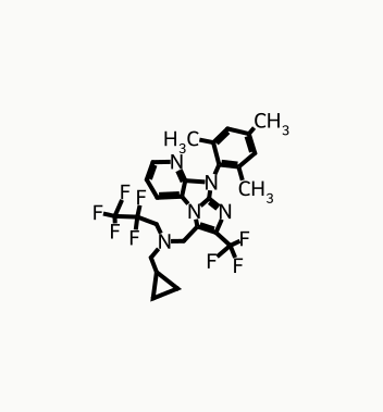 Cc1cc(C)c(-n2c3ncccc3n3c(CN(CC4CC4)CC(F)(F)C(F)(F)F)c(C(F)(F)F)nc23)c(C)c1